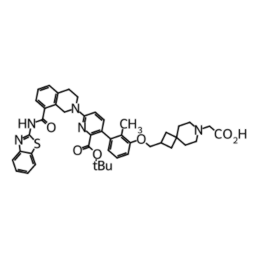 Cc1c(OCC2CC3(CCN(CC(=O)O)CC3)C2)cccc1-c1ccc(N2CCc3cccc(C(=O)Nc4nc5ccccc5s4)c3C2)nc1C(=O)OC(C)(C)C